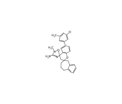 Cc1cc(Cl)cc(-c2ccc3c(c2)C2(CC4(CCCc5ccccc5C4)O3)N=C(N)N(C)O2)c1